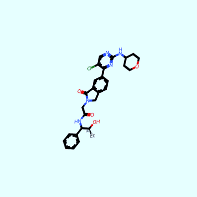 CC[C@H](O)C(NC(=O)CN1Cc2ccc(-c3nc(NC4CCOCC4)ncc3Cl)cc2C1=O)c1ccccc1